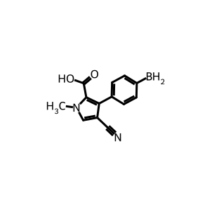 Bc1ccc(-c2c(C#N)cn(C)c2C(=O)O)cc1